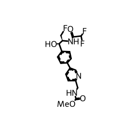 COC(=O)NCc1ccc(-c2ccc([C@@H](O)[C@@H](CF)NC(=O)C(F)F)cc2)cn1